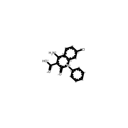 Nc1c(C(=O)O)c(=O)n(-c2ccccc2)c2cc(Cl)ccc12